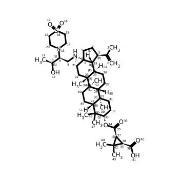 C=C(C)[C@@H]1CC[C@]2(NC[C@@H]([C@H](C)O)N3CCS(=O)(=O)CC3)CC[C@]3(C)[C@H](CC[C@@H]4[C@@]5(C)CC[C@H](OC(=O)[C@H]6[C@@H](C(=O)O)C6(C)C)C(C)(C)[C@@H]5CC[C@]43C)[C@@H]12